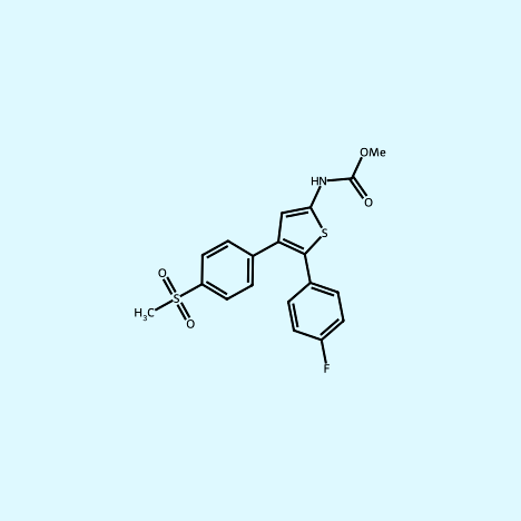 COC(=O)Nc1cc(-c2ccc(S(C)(=O)=O)cc2)c(-c2ccc(F)cc2)s1